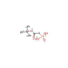 CC(C)[Si](OC(=O)CP(=O)(O)O)(C(C)C)C(C)C